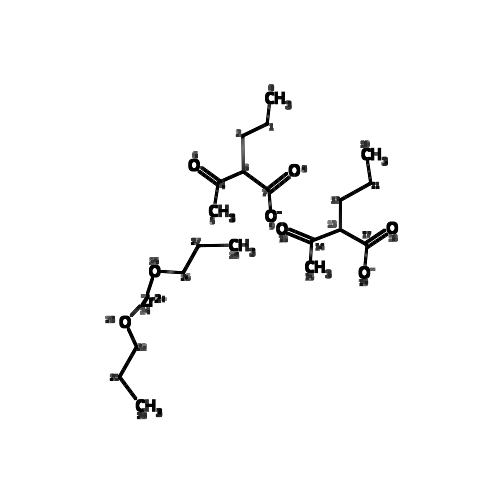 CCCC(C(C)=O)C(=O)[O-].CCCC(C(C)=O)C(=O)[O-].CCC[O][Zr+2][O]CCC